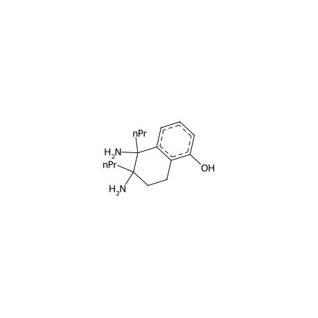 CCCC1(N)CCc2c(O)cccc2C1(N)CCC